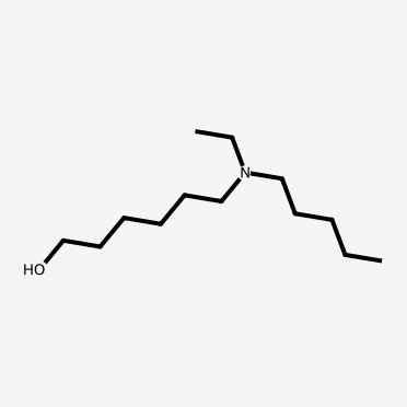 CCCCCN(CC)CCCCCCO